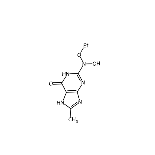 CCON(O)c1nc2nc(C)[nH]c2c(=O)[nH]1